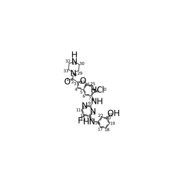 Cl.O=C(c1cc2cc(Nc3ncc(F)c(Nc4cccc(O)c4)n3)ccc2o1)N1CCNCC1